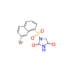 O=C1CN(S(=O)(=O)c2cccc3ccc(Br)cc23)C(=O)N1